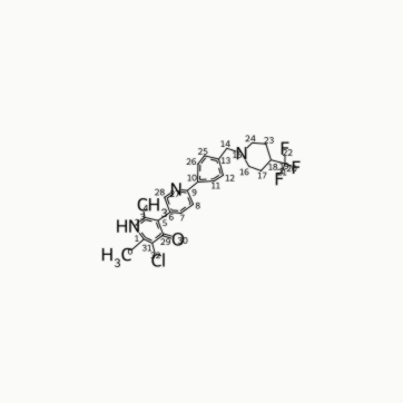 Cc1[nH]c(C)c(-c2ccc(-c3ccc(CN4CCC(C(F)(F)F)CC4)cc3)nc2)c(=O)c1Cl